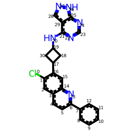 Clc1cc2ccc(-c3ccccc3)nc2cc1C1CC(Nc2ncnc3[nH]ncc23)C1